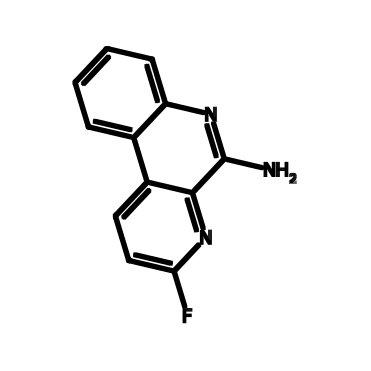 Nc1nc2ccccc2c2ccc(F)nc12